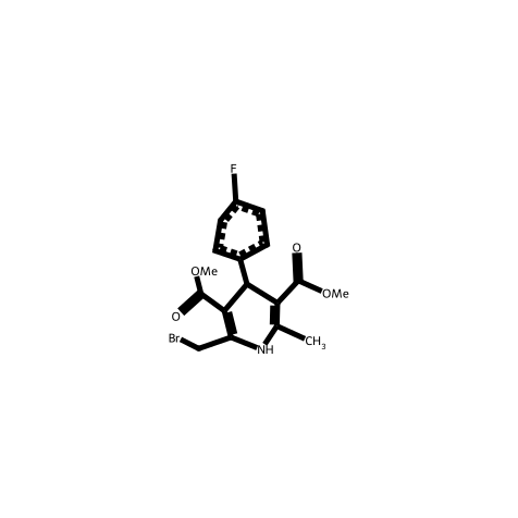 COC(=O)C1=C(C)NC(CBr)=C(C(=O)OC)C1c1ccc(F)cc1